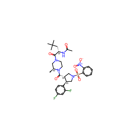 CC(=O)N[C@@H](CC(C)(C)C)C(=O)N1CCN(C(=O)[C@@H]2CN(S(=O)(=O)c3ccccc3[N+](=O)[O-])C[C@H]2c2ccc(F)cc2F)[C@@H](C)C1